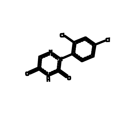 O=c1cnn(-c2ccc(Cl)cc2Cl)c(=O)[nH]1